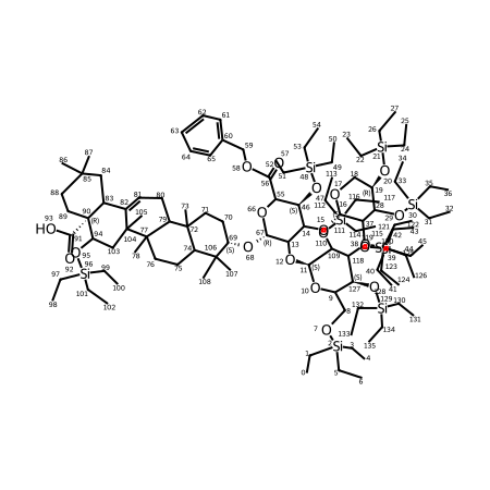 CC[Si](CC)(CC)OCC1O[C@@H](OC2C(O[C@@H]3OC[C@@H](O[Si](CC)(CC)CC)C(O[Si](CC)(CC)CC)C3O[Si](CC)(CC)CC)[C@H](O[Si](CC)(CC)CC)C(C(=O)OCc3ccccc3)O[C@H]2O[C@H]2CCC3(C)C(CCC4(C)C3CC=C3C5CC(C)(C)CC[C@]5(C(=O)O)C(O[Si](CC)(CC)CC)CC34C)C2(C)C)C(O[Si](CC)(CC)CC)C(O[Si](CC)(CC)CC)[C@H]1O[Si](CC)(CC)CC